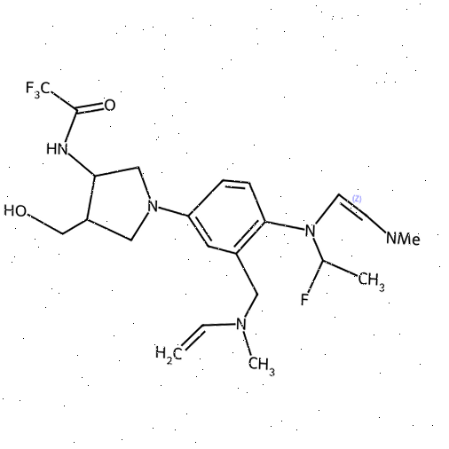 C=CN(C)Cc1cc(N2CC(CO)C(NC(=O)C(F)(F)F)C2)ccc1N(/C=C\NC)C(C)F